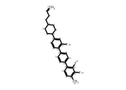 C=CCCC1CCC(c2ccc(-c3ccc(-c4ccc(C)c(F)c4F)cc3)c(F)c2)CC1